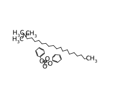 CCCCCCCCCCCCCCCCCC[N+](C)(C)C.O=P([O-])(Oc1ccccc1)Oc1ccccc1